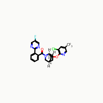 O=C(c1ccccc1-c1ncc(F)cn1)N1C[C@@H]2CC[C@H]1[C@H](Oc1ncc(C(F)(F)F)cc1Cl)C2